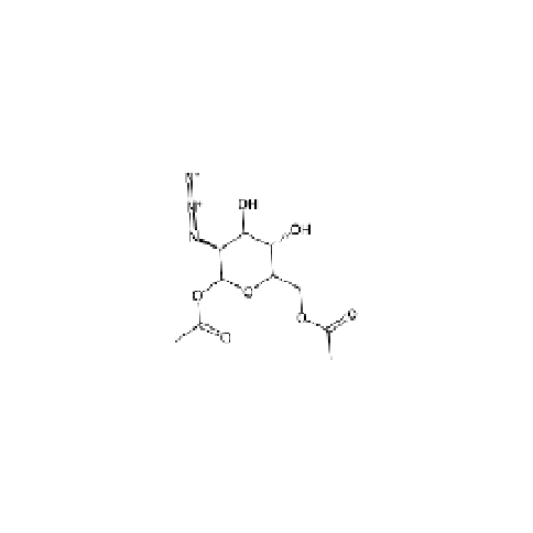 CC(=O)OCC1OC(OC(C)=O)[C@@H](N=[N+]=[N-])C(O)[C@@H]1O